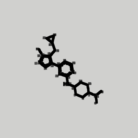 CN(C)C1CCC(Nc2nccc(-c3cnn(C)c3CC3CC3)n2)CC1